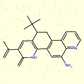 C=C(C)C1=CC2=C(NC1=C)c1cc(N)c3ncccc3c1CC2C(C)(C)C